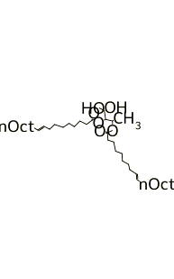 CCCCCCCCC=CCCCCCCCC(=O)OC(C)C(OC(=O)CCCCCCCC=CCCCCCCCC)C(O)O